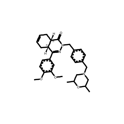 COc1ccc(C2=NN(Cc3ccc(CN4CC(C)OC(C)C4)cc3)C(=O)[C@H]3CC=CC[C@@H]23)cc1OC